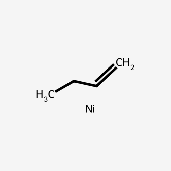 C=CCC.[Ni]